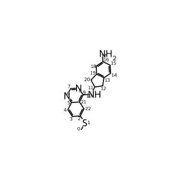 CSc1ccc2ncnc(NC3Cc4ccc(N)cc4C3)c2c1